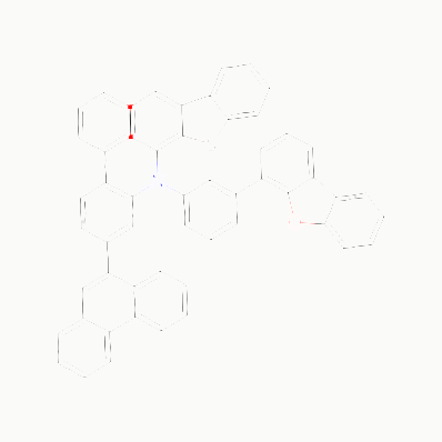 c1ccc(-c2ccc(-c3cc4ccccc4c4ccccc34)cc2N(c2cccc(-c3cccc4c3oc3ccccc34)c2)c2cccc3c2sc2ccccc23)cc1